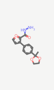 CC1(c2ccc(-c3ccoc3C(=O)NN)cc2)OCCO1